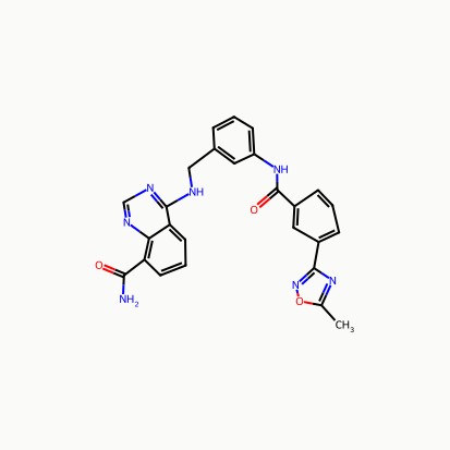 Cc1nc(-c2cccc(C(=O)Nc3cccc(CNc4ncnc5c(C(N)=O)cccc45)c3)c2)no1